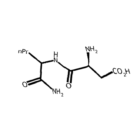 CCCC(NC(=O)[C@@H](N)CC(=O)O)C(N)=O